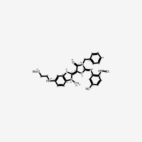 CCNc1ccc(C#N)cc1N=C1SC(=C2Sc3cc(NCCOC)ccc3N2C)C(=O)N1Cc1ccccc1